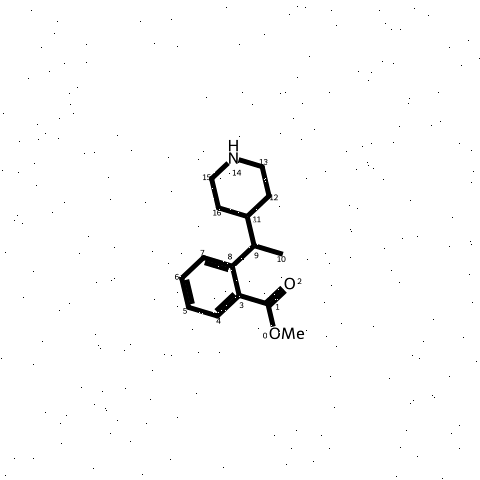 COC(=O)c1ccccc1C(C)C1CCNCC1